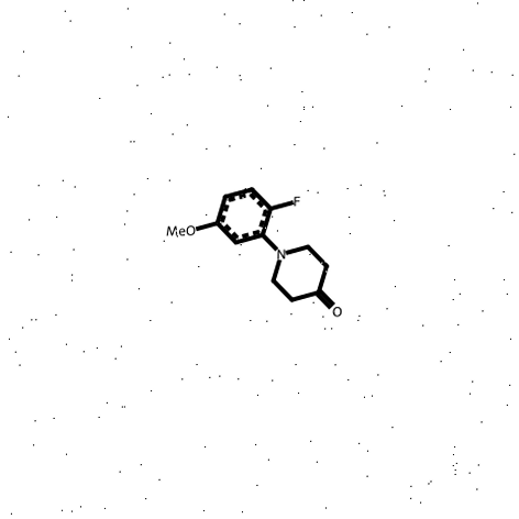 COc1ccc(F)c(N2CCC(=O)CC2)c1